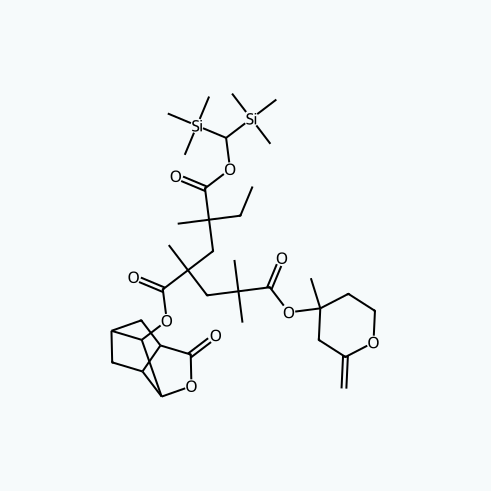 C=C1CC(C)(OC(=O)C(C)(C)CC(C)(CC(C)(CC)C(=O)OC([Si](C)(C)C)[Si](C)(C)C)C(=O)OC2C3CC4C(=O)OC2C4C3)CCO1